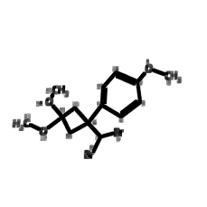 COc1ccc(C2(C(Br)Br)CC(OC)(OC)C2)cc1